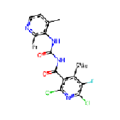 CSc1c(F)c(Cl)nc(Cl)c1C(=O)NC(=O)Nc1c(C)ccnc1C(C)C